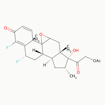 CC(=O)OCC(=O)[C@@]1(O)[C@H](C)C[C@H]2[C@@H]3C[C@H](F)C4=C(F)C(=O)C=C[C@]4(C)C34OC4C[C@@]21C